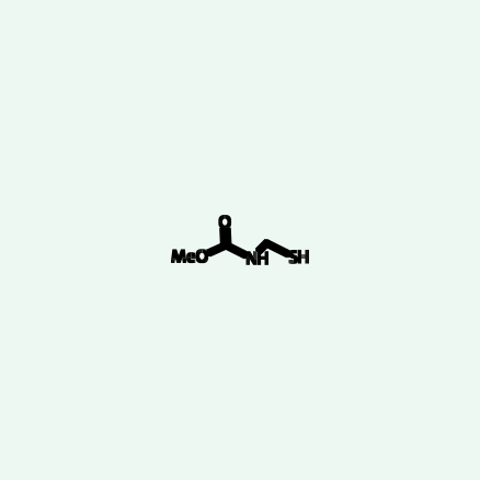 COC(=O)NCS